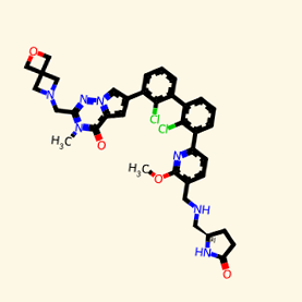 COc1nc(-c2cccc(-c3cccc(-c4cc5c(=O)n(C)c(CN6CC7(COC7)C6)nn5c4)c3Cl)c2Cl)ccc1CNC[C@H]1CCC(=O)N1